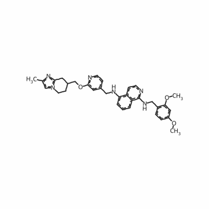 COc1ccc(CNc2nccc3c(NCc4ccnc(OCC5CCn6cc(C)nc6C5)c4)cccc23)c(OC)c1